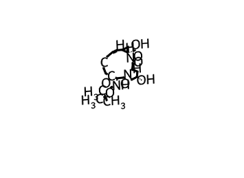 CC(C)(C)OC(=O)N[C@H]1CCCCCC=C[C@@H]2C[C@@]2(C(=O)O)NC(=O)[C@@H]2C[C@H](O)CN2C1=O